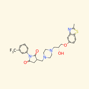 Cc1nc2cc(OC[C@H](O)CN3CCN(CC4CC(=O)N(c5cccc(C(F)(F)F)c5)C4=O)CC3)ccc2s1